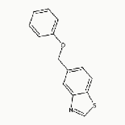 c1ccc(OCc2ccc3scnc3c2)cc1